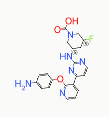 Nc1ccc(Oc2ncccc2-c2ccnc(N[C@H]3C[C@H](F)CN(C(=O)O)C3)n2)cc1